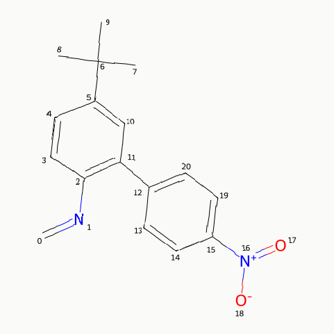 C=Nc1ccc(C(C)(C)C)cc1-c1ccc([N+](=O)[O-])cc1